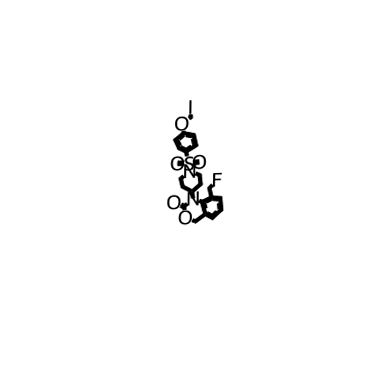 O=C1OCc2cccc(CF)c2N1C1CCN(S(=O)(=O)c2ccc(OCI)cc2)CC1